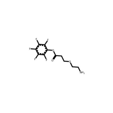 NCCOCCC(=O)Oc1c(F)c(F)c(F)c(F)c1F